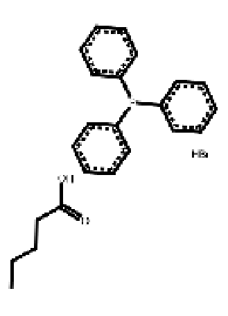 Br.CCCCC(=O)O.c1ccc(P(c2ccccc2)c2ccccc2)cc1